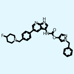 O=C(Nc1c[nH]c2ncc(-c3ccc(CN4CCC(F)CC4)cc3)cc12)Oc1cnn(Cc2ccccc2)c1